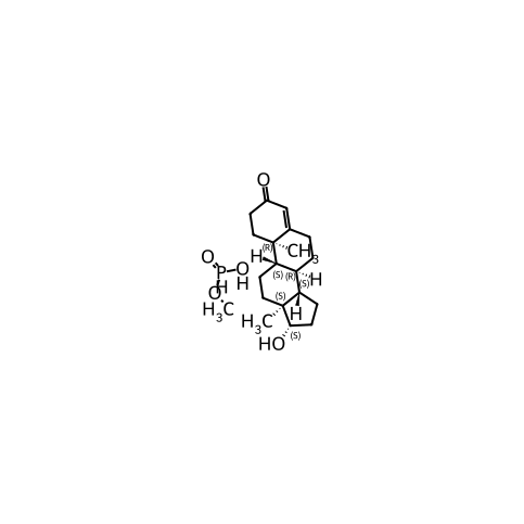 CO[PH](=O)O.C[C@]12CC[C@H]3[C@@H](CCC4=CC(=O)CC[C@@]43C)[C@@H]1CC[C@@H]2O